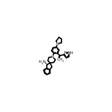 C=C(c1cc[nH]n1)c1cc(N2CCCC2)ccc1N1CCC2(CC1)Cc1ccccc1[C@H]2N